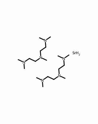 CN(C)CCN(C)CCN(C)C.CN(C)CCN(C)CCN(C)C.[SrH2]